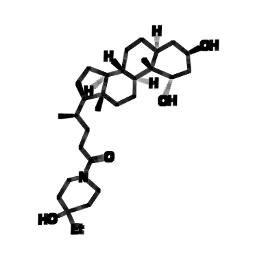 CCC1(O)CCN(C(=O)CC[C@@H](C)[C@H]2CC[C@H]3[C@@H]4CC[C@H]5C[C@@H](O)C[C@H](O)[C@]5(C)[C@H]4CC[C@]23C)CC1